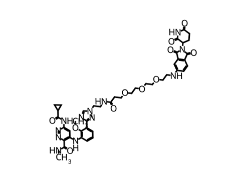 CNC(=O)c1nnc(NC(=O)C2CC2)cc1Nc1cccc(-c2ncn(CCNC(=O)CCOCCOCCOCCNc3ccc4c(c3)C(=O)N(C3CCC(=O)NC3=O)C4=O)n2)c1OC